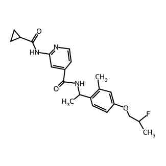 Cc1cc(OCC(C)F)ccc1C(C)NC(=O)c1ccnc(NC(=O)C2CC2)c1